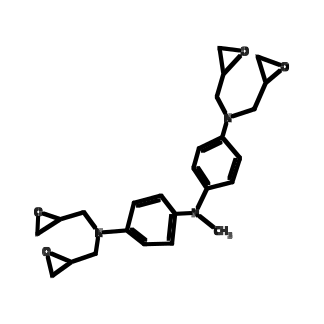 CN(c1ccc(N(CC2CO2)CC2CO2)cc1)c1ccc(N(CC2CO2)CC2CO2)cc1